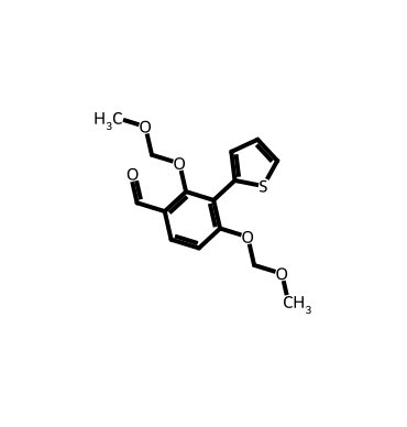 COCOc1ccc(C=O)c(OCOC)c1-c1cccs1